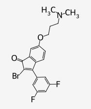 CN(C)CCCOc1ccc2c(c1)C(=O)C(Br)=C2c1cc(F)cc(F)c1